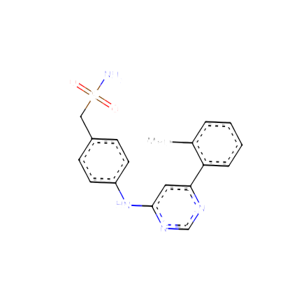 COc1ccccc1-c1cc(Nc2ccc(CS(N)(=O)=O)cc2)ncn1